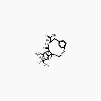 CC(C)C[C@H]1C(=O)N[C@H](C(=O)O)Cc2ccc(cc2)OCCC[C@@H]1C(=O)OC(C)(C)C